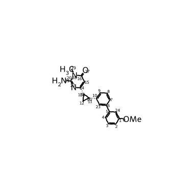 COc1cccc(-c2cccc([C@@H]3C[C@@H]3c3cc(=O)n(C)c(N)n3)c2)c1